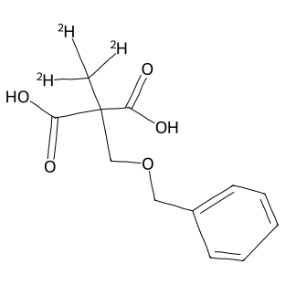 [2H]C([2H])([2H])C(COCc1ccccc1)(C(=O)O)C(=O)O